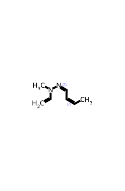 C=CN(C)/N=C\C=C/C